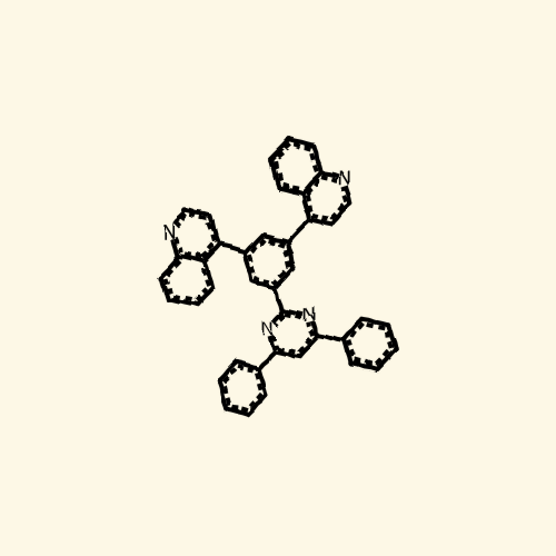 c1ccc(-c2cc(-c3ccccc3)nc(-c3cc(-c4ccnc5ccccc45)cc(-c4ccnc5ccccc45)c3)n2)cc1